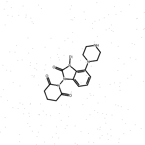 CCn1c(=O)n(N2C(=O)CCCC2=O)c2cccc(N3CCNCC3)c21